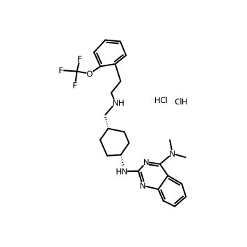 CN(C)c1nc(N[C@H]2CC[C@@H](CNCCc3ccccc3OC(F)(F)F)CC2)nc2ccccc12.Cl.Cl